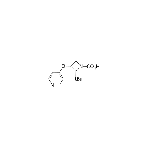 CC(C)(C)C1C(Oc2ccncc2)CN1C(=O)O